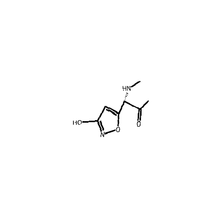 CN[C@H](C(C)=O)c1cc(O)no1